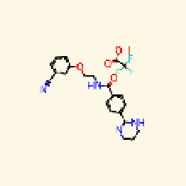 N#Cc1cccc(OCCNC(=O)c2ccc(C3=NCCCN3)cc2)c1.O=C(O)C(F)(F)F